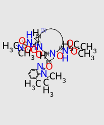 Cc1cccc2nc(O[C@@H]3C[C@H]4C(=O)N[C@]5(C(=O)NS(=O)(=O)N(C)C)C[C@H]5/C=C\CCCCC[C@H](NC(=O)OC(C)(C)C)C(=O)N4C3)n(C(C)C)c12